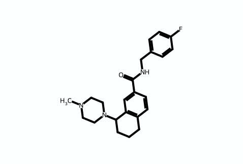 CN1CCN(C2CCCc3ccc(C(=O)NCc4ccc(F)cc4)cc32)CC1